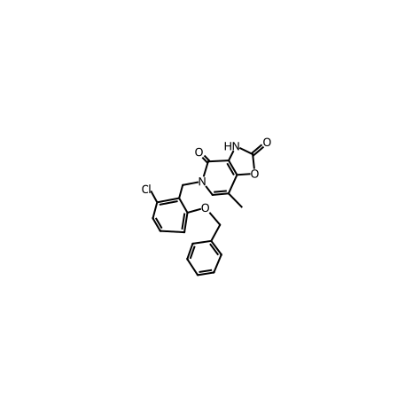 Cc1cn(Cc2c(Cl)cccc2OCc2ccccc2)c(=O)c2[nH]c(=O)oc12